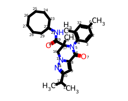 Cc1ccc(N2C(=O)c3cc(C(C)C)nn3CC2(C)C(=O)NC2CCCCCCC2)c(C)c1